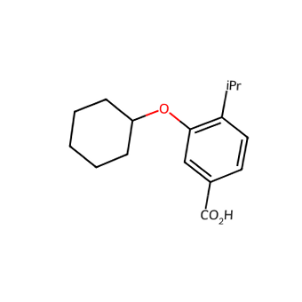 CC(C)c1ccc(C(=O)O)cc1OC1CCCCC1